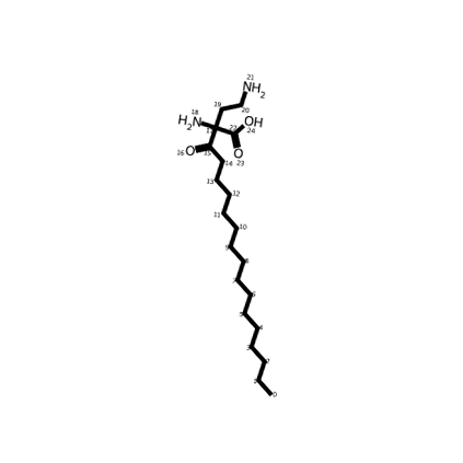 CCCCCCCCCCCCCCCC(=O)C(N)(CCN)C(=O)O